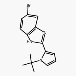 CC(C)(C)n1cccc1-c1nc2cc(Br)ccc2[nH]1